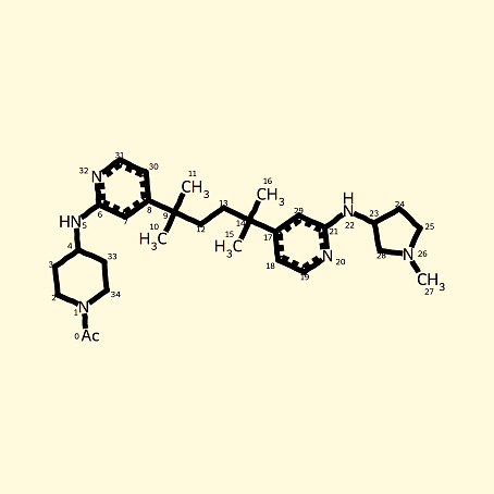 CC(=O)N1CCC(Nc2cc(C(C)(C)CCC(C)(C)c3ccnc(NC4CCN(C)C4)c3)ccn2)CC1